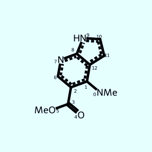 CNc1c(C(=O)OC)cnc2[nH]ccc12